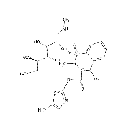 CNC[C@H](O)[C@@H](O)[C@H](O)[C@H](O)CO.Cc1cnc(NC(=O)C2=C(O)c3ccccc3S(=O)(=O)N2C)s1